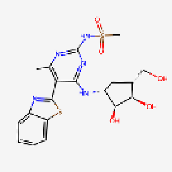 Cc1nc(NS(C)(=O)=O)nc(N[C@@H]2C[C@H](CO)[C@@H](O)[C@H]2O)c1-c1nc2ccccc2s1